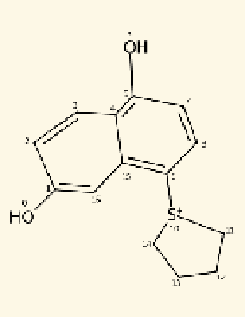 Oc1ccc2c(O)ccc([S+]3CCCC3)c2c1